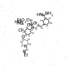 CCN=CN1CCC(Oc2ccc(N(C/C=C/c3cccc(C(=N)N)c3)S(=O)(=O)CC(=O)OCC)cc2Cl)CC1.Cl.Cl